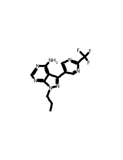 CCCn1nc(-c2cnc(C(F)(F)F)nc2)c2c(N)ncnc21